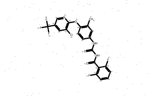 Cc1cc(NC(=O)NC(=O)c2c(F)cccc2F)ccc1Oc1ncc(C(F)(F)F)cc1Cl